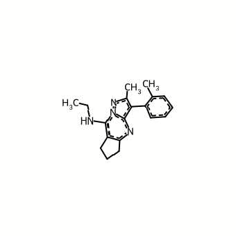 CCNc1c2c(nc3c(-c4ccccc4C)c(C)nn13)CCC2